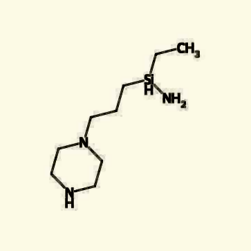 CC[SiH](N)CCCN1CCNCC1